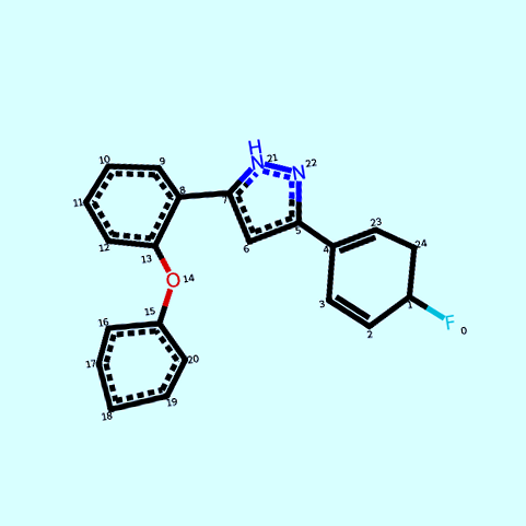 FC1C=CC(c2cc(-c3ccccc3Oc3ccccc3)[nH]n2)=CC1